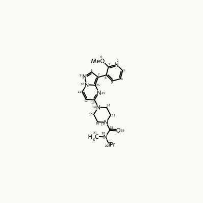 COc1ncccc1-c1cnn2ccc(N3CCN(C(=O)N(C)C(C)C)CC3)nc12